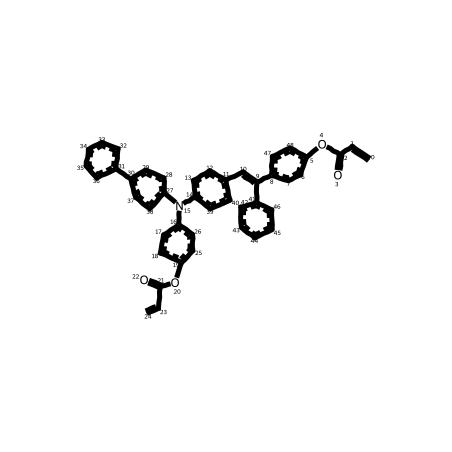 C=CC(=O)Oc1ccc(C(=Cc2ccc(N(c3ccc(OC(=O)C=C)cc3)c3ccc(-c4ccccc4)cc3)cc2)c2ccccc2)cc1